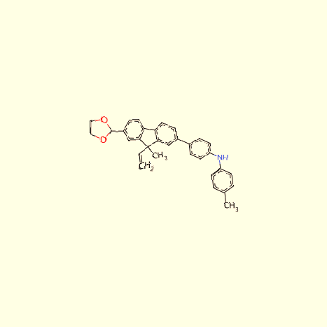 C=CC1(C)c2cc(-c3ccc(Nc4ccc(C)cc4)cc3)ccc2-c2ccc(C3OCCO3)cc21